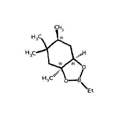 CCB1O[C@@H]2C[C@H](C)C(C)(C)C[C@]2(C)O1